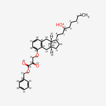 CCCCC[C@H](O)CC[C@H]1CC[C@@H]2Cc3c(cccc3OCC(=O)C(=O)OCc3ccccc3)C[C@H]12